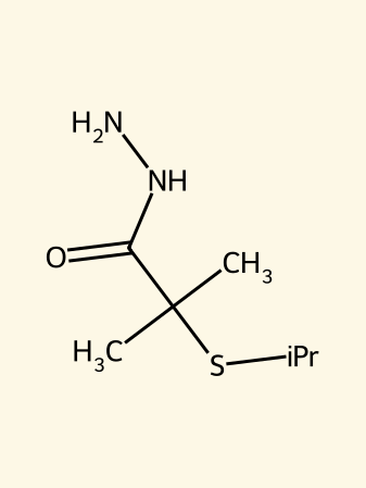 CC(C)SC(C)(C)C(=O)NN